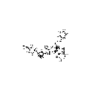 O=C(/C=C/[C@H](CCc1ccccc1)NC(=O)[C@@H]1CCCCN1)Nc1nnc(-c2ccc(Br)cc2)s1